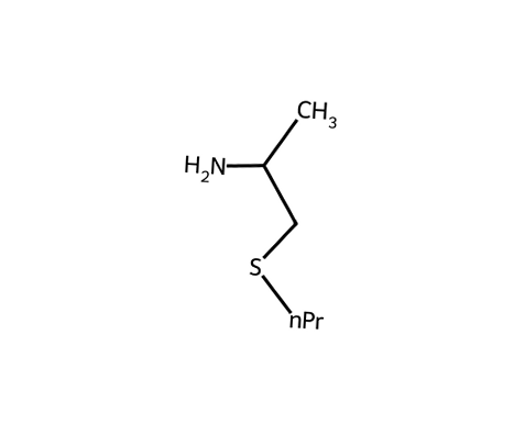 CCCSCC(C)N